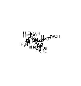 CCCCCCN(C(=O)[C@@H](NC=O)[C@@H](C)CC)[C@H](C[C@@H](OC(=O)NCCOCCOCCO)c1nc(C(=O)N[C@@H](Cc2ccc(N)c(F)c2)CC(C)(C)C(=O)O)cs1)C(C)C